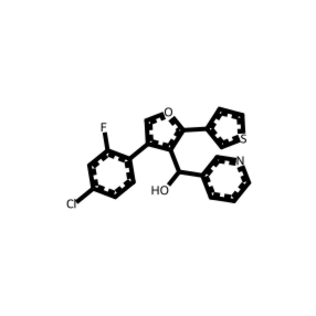 OC(c1cccnc1)c1c(-c2ccc(Cl)cc2F)coc1-c1ccsc1